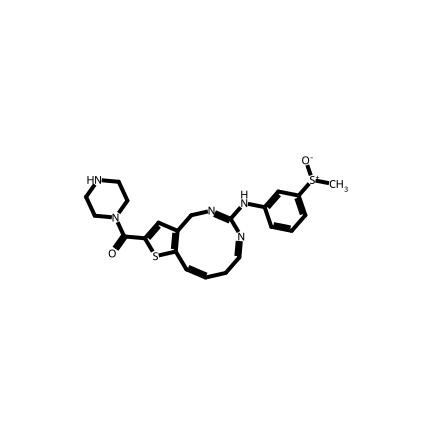 C[S+]([O-])c1cccc(NC2=N/Cc3cc(C(=O)N4CCNCC4)sc3/C=C\C/C=N\2)c1